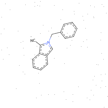 N#Cc1c2ccccc2cn1Cc1ccccc1